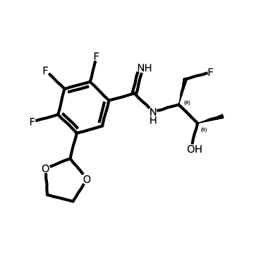 C[C@@H](O)[C@H](CF)NC(=N)c1cc(C2OCCO2)c(F)c(F)c1F